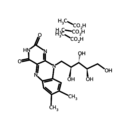 CC(=O)O.CC(=O)O.CC(=O)O.Cc1cc2nc3c(=O)[nH]c(=O)nc-3n(C[C@H](O)[C@H](O)[C@H](O)CO)c2cc1C